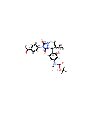 CCN(C(=O)OC(C)(C)C)c1ccc2c(c1)OC(C)(C)C1=CCn3c(=O)n(-c4ccc(C(C)=O)cc4)c(=O)n3C12